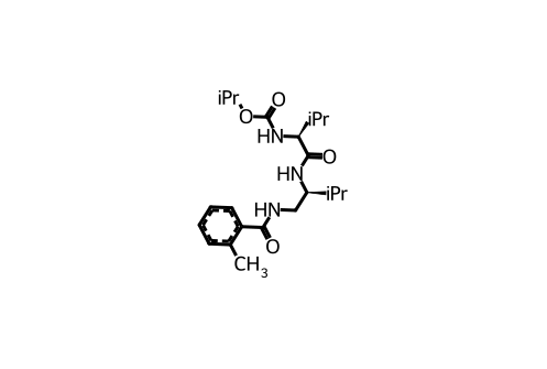 Cc1ccccc1C(=O)NC[C@@H](NC(=O)[C@@H](NC(=O)OC(C)C)C(C)C)C(C)C